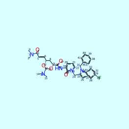 CN(C)C(=O)C=CCCC(OC(=O)N(C)C)C(=O)Nc1cccn(Cc2cc3cc(F)ccc3n2Cc2ccccc2)c1=O